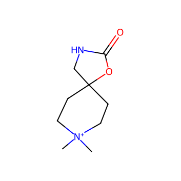 C[N+]1(C)CCC2(CC1)CNC(=O)O2